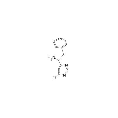 NC(Cc1ccccc1)c1cc(Cl)ncn1